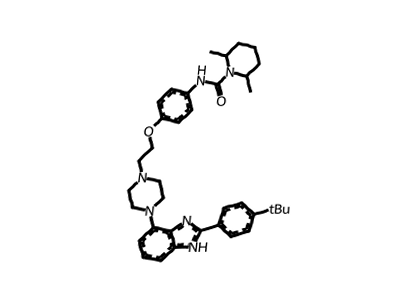 CC1CCCC(C)N1C(=O)Nc1ccc(OCCN2CCN(c3cccc4[nH]c(-c5ccc(C(C)(C)C)cc5)nc34)CC2)cc1